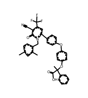 Cc1ccc(Cn2c(-c3ccc(Oc4ccc(OC(C)(C(=O)O)c5ccccc5)cc4)cc3)cc(C(F)(F)F)c(C#N)c2=O)c(C)c1